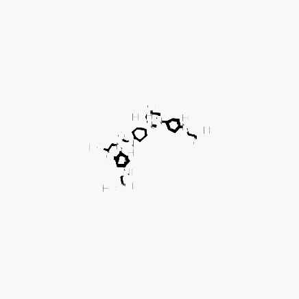 CC(C)CNc1ccc(N(CC(C)C)C(=O)NC2CCC(NC(=O)N(CC(C)C)c3ccc(NCC(C)C)cc3)CC2)cc1